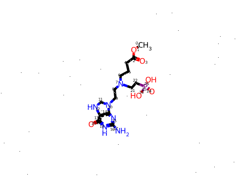 COC(=O)CCCN(CCN1CNc2c1nc(N)[nH]c2=O)CCP(=O)(O)O